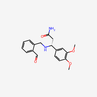 COc1ccc([C@@H](CC(N)=O)NCc2ccccc2C=O)cc1OC